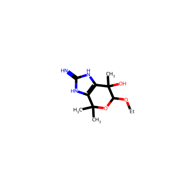 CCOC1OC(C)(C)c2[nH]c(=N)[nH]c2C1(C)O